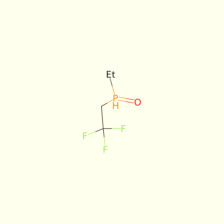 CC[PH](=O)CC(F)(F)F